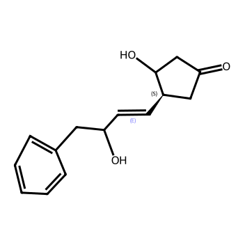 O=C1CC(O)[C@H](/C=C/C(O)Cc2ccccc2)C1